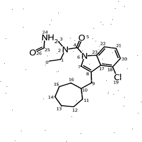 CCN(C)C(=O)n1cc(CC2CCCCCC2)c2c(Cl)cccc21.NC=O